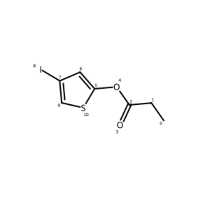 CCC(=O)Oc1cc(I)cs1